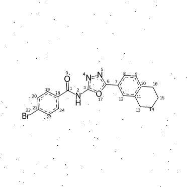 O=C(Nc1nnc(-c2ccc3c(c2)CCCC3)o1)c1ccc(Br)cc1